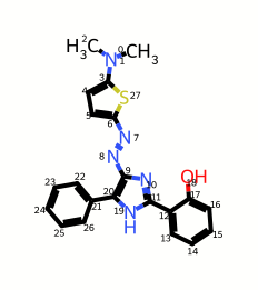 CN(C)c1ccc(N=Nc2nc(-c3ccccc3O)[nH]c2-c2ccccc2)s1